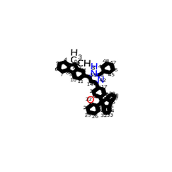 CC1(C)c2ccccc2-c2ccc(C3C=C(c4ccc5c(c4)Oc4ccccc4C54c5ccccc5-c5ccccc54)N=C(c4ccccc4)N3)cc21